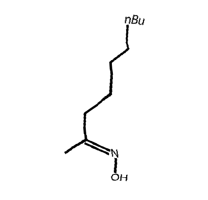 CCCCCCCCC(C)=NO